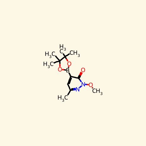 COn1nc(C)cc(B2OC(C)(C)C(C)(C)O2)c1=O